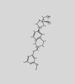 COc1cc(C)cc(CC[C@@H]2CCc3cc([C@H]4CC[C@](N)(CO)C4)ccc3C2)c1